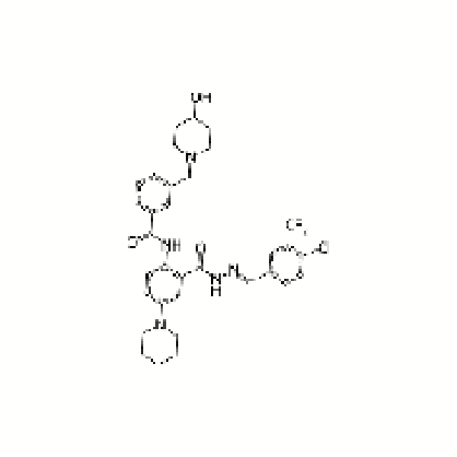 O=C(Nc1ccc(N2CCCCC2)cc1C(=O)NN=Cc1ccc(Cl)c(C(F)(F)F)c1)c1cccc(CN2CCC(O)CC2)c1